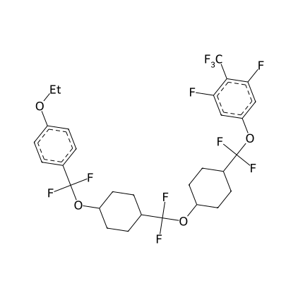 CCOc1ccc(C(F)(F)OC2CCC(C(F)(F)OC3CCC(C(F)(F)Oc4cc(F)c(C(F)(F)F)c(F)c4)CC3)CC2)cc1